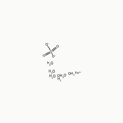 O.O.O.O.O.O.O=S(=O)([O-])[O-].[Fe+2]